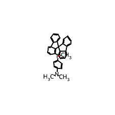 CN(C)c1ccc(N(C)c2cccc3c2C2(c4ccccc4-c4ccccc42)c2ccccc2-3)cc1